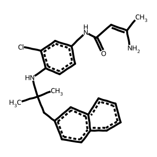 CC(N)=CC(=O)Nc1ccc(NC(C)(C)Cc2ccc3ccccc3c2)c(Cl)c1